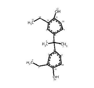 CCc1cc(C(C)(C)c2ccc(O)c(CC)c2)ccc1O